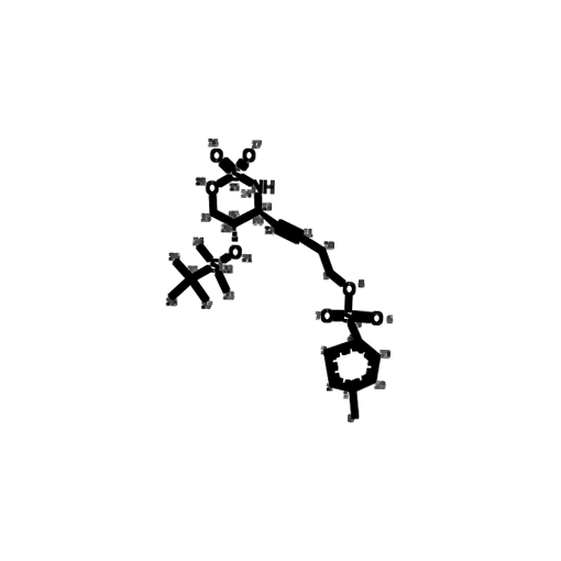 Cc1ccc(S(=O)(=O)OCCC#C[C@@H]2NS(=O)(=O)OC[C@H]2O[Si](C)(C)C(C)(C)C)cc1